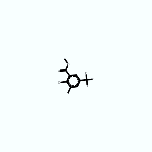 COC(=O)c1cc(C(F)(F)F)cc(C)c1Cl